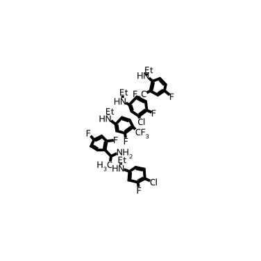 CC(N)c1ccc(F)cc1F.CCNc1ccc(C(F)(F)F)c(F)c1.CCNc1ccc(Cl)c(F)c1.CCNc1ccc(F)c(Cl)c1.CCNc1ccc(F)cc1C(F)(F)F